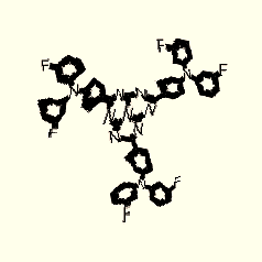 Fc1cccc(N(c2ccc(C3=NC4=NC(c5ccc(N(c6cccc(F)c6)c6cccc(F)c6)cc5)=NC5=NC(c6ccc(N(c7cccc(F)c7)c7cccc(F)c7)cc6)=NC(=N3)N45)cc2)c2cccc(F)c2)c1